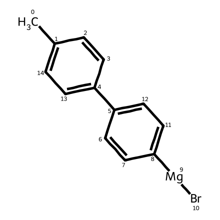 Cc1ccc(-c2cc[c]([Mg][Br])cc2)cc1